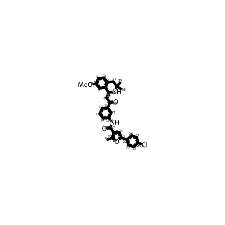 COc1ccc2c(c1)/C(=C/C(=O)c1cccc(NC(=O)c3cc(-c4ccc(Cl)cc4)oc3C)c1)NC(C)(C)C2